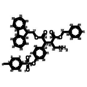 Cc1ccc(S(=O)(=O)Oc2ccc(C(C(=O)OCC3c4ccccc4-c4ccccc43)C(CN)C(=O)OCc3ccccc3)cc2)cc1